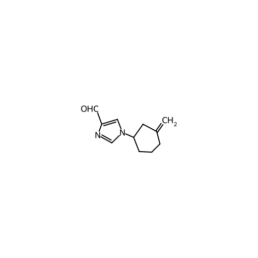 C=C1CCCC(n2cnc(C=O)c2)C1